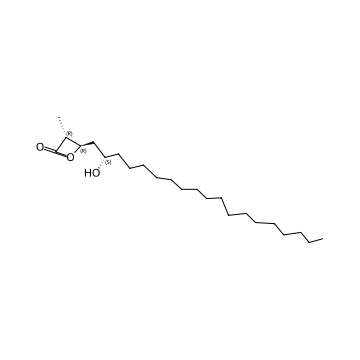 CCCCCCCCCCCCCCCCC[C@H](O)C[C@H]1OC(=O)[C@@H]1C